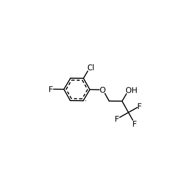 OC(COc1[c]cc(F)cc1Cl)C(F)(F)F